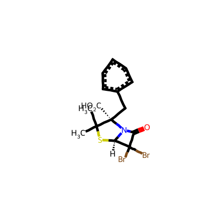 CC1(C)S[C@H]2N(C(=O)C2(Br)Br)[C@@]1(Cc1ccccc1)C(=O)O